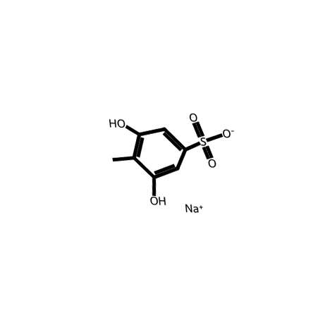 Cc1c(O)cc(S(=O)(=O)[O-])cc1O.[Na+]